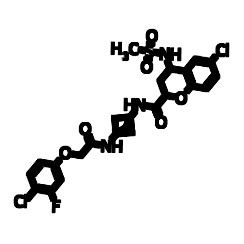 CS(=O)(=O)NC1CC(C(=O)NC23CC(NC(=O)COc4ccc(Cl)c(F)c4)(C2)C3)Oc2ccc(Cl)cc21